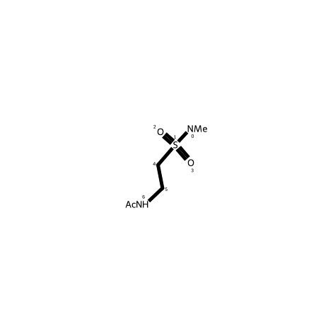 CNS(=O)(=O)CCNC(C)=O